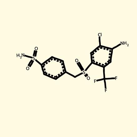 Nc1cc(C(F)(F)F)c(S(=O)(=O)Cc2ccc(S(N)(=O)=O)cc2)cc1Cl